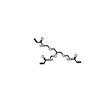 C=CC(=O)NCOCC(COCNC(=O)C=C)OCNC(=O)C=C